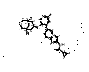 Cc1cc(-c2ccc3nc(NC(=O)C4CC4)cn3c2)c(OC2C[C@H]3COC[C@@H](C2)N3)cn1